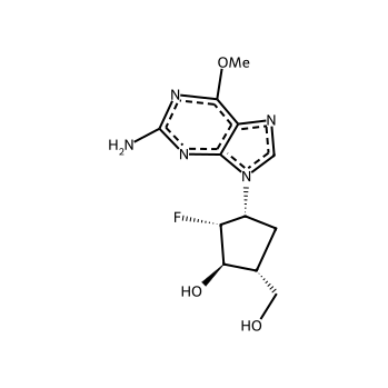 COc1nc(N)nc2c1ncn2[C@@H]1C[C@H](CO)[C@@H](O)[C@@H]1F